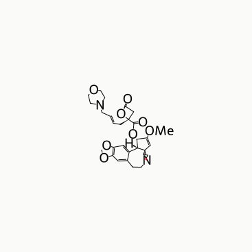 COC1=C[C@]23CCCN2CCc2cc4c(cc2[C@@H]3[C@@H]1OC(=O)[C@@]1(C/C=C/CN2CCOCC2)CC(=O)O1)OCO4